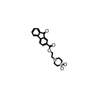 O=C(OCCN1CCS(=O)(=O)CC1)c1ccc2c(c1)C(=O)c1ccccc1-2